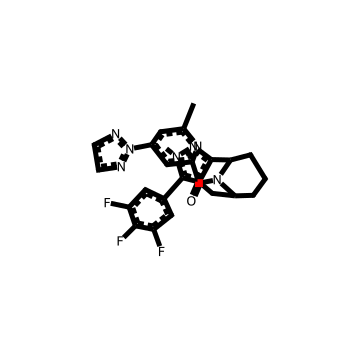 Cc1cc(-n2nccn2)cc(C(=O)N2C3CCCC2c2nn(C)c(-c4cc(F)c(F)c(F)c4)c2C3)n1